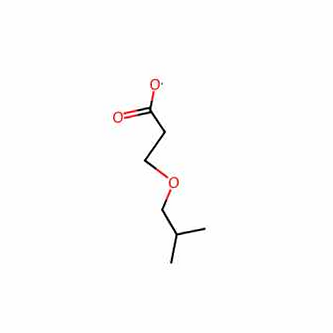 CC(C)COCCC([O])=O